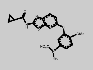 COc1ccc(N(C(=O)O)C(C)(C)C)cc1Oc1ccc2nc(NC(=O)C3CC3)sc2n1